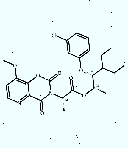 CCC(CC)[C@@H](Oc1cccc(Cl)c1)[C@H](C)OC(=O)[C@H](C)n1c(=O)oc2c(OC)ccnc2c1=O